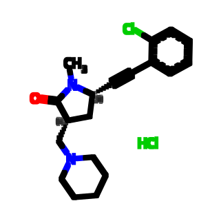 CN1C(=O)[C@@H](CN2CCCCC2)C[C@H]1C#Cc1ccccc1Cl.Cl